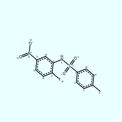 Cc1ccc(S(=O)(=O)Nc2cc([N+](=O)[O-])ccc2F)cc1